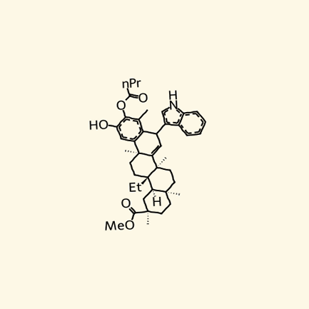 CCCC(=O)Oc1c(O)cc2c(c1C)C(c1c[nH]c3ccccc13)C=C1[C@@]2(C)CC[C@@]2(CC)[C@@H]3C[C@](C)(C(=O)OC)CC[C@]3(C)CC[C@]12C